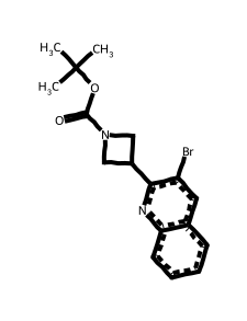 CC(C)(C)OC(=O)N1CC(c2nc3ccccc3cc2Br)C1